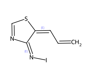 C=C/C=C1/SC=N/C1=N/I